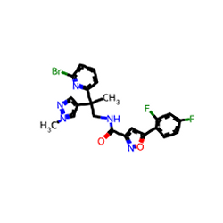 Cn1cc(C(C)(CNC(=O)c2cc(-c3ccc(F)cc3F)on2)c2cccc(Br)n2)cn1